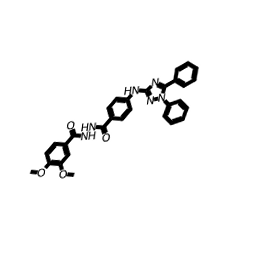 COc1ccc(C(=O)NNC(=O)c2ccc(Nc3nc(-c4ccccc4)n(-c4ccccc4)n3)cc2)cc1OC